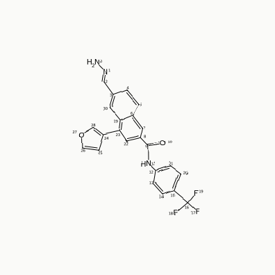 NN=Cc1ccc2cc(C(=O)Nc3ccc(C(F)(F)F)cc3)cc(-c3ccoc3)c2c1